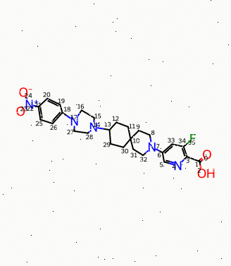 O=C(O)c1ncc(N2CCC3(CCC(N4CCN(c5ccc([N+](=O)[O-])cc5)CC4)CC3)CC2)cc1F